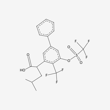 CC(C)CC(C(=O)O)c1cc(-c2ccccc2)cc(OS(=O)(=O)C(F)(F)F)c1C(F)(F)F